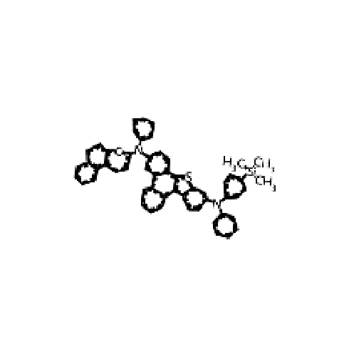 C[Si](C)(C)c1ccc(N(c2ccccc2)c2ccc3c(c2)sc2c4ccc(N(c5ccccc5)c5ccc6c(ccc7ccccc76)c5)cc4c4ccccc4c32)cc1